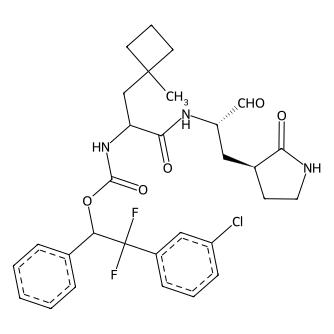 CC1(CC(NC(=O)OC(c2ccccc2)C(F)(F)c2cccc(Cl)c2)C(=O)N[C@H](C=O)C[C@@H]2CCNC2=O)CCC1